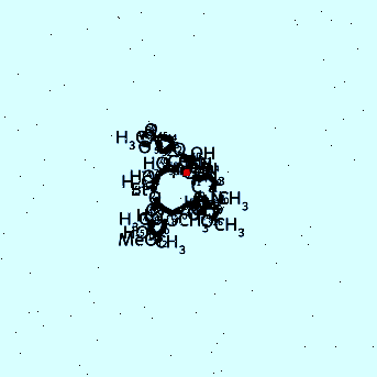 CC[C@H]1OC(=O)[C@H](C)[C@@H](O[C@H]2C[C@@](C)(OC)[C@@H](O)[C@H](C)O2)[C@H](C)[C@@H](O[C@@H]2O[C@H](C)C[C@H](N(C)CCc3cn([C@H](CF)[C@H](O)COc4ccc(S(C)(=O)=O)cc4)nn3)[C@H]2O)[C@](C)(O)CC[C@@H](C)CN(C)[C@H](C)[C@@H](O)C[C@]1(C)O